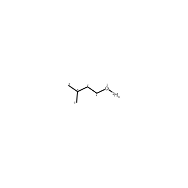 [2H]OCCC(C)C